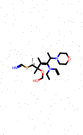 C=CN(CC)/C(=C(/C)C(C)(OCO)[C@@H](C)SC=N)C(C)N1CCOCC1